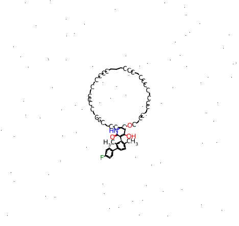 Cc1ccc(-c2ccc(F)cc2)c(C)c1C1=C(O)CC2(CCCCCCCCCCCCCCCCCCCCCCCCCCCCCCCCCCCCCCOC2)NC1=O